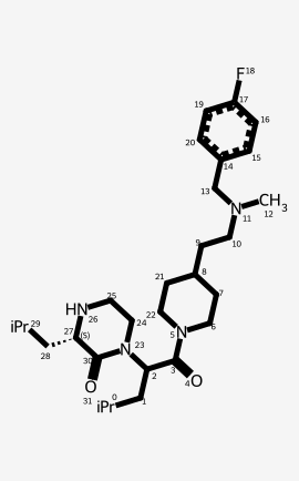 CC(C)CC(C(=O)N1CCC(CCN(C)Cc2ccc(F)cc2)CC1)N1CCN[C@@H](CC(C)C)C1=O